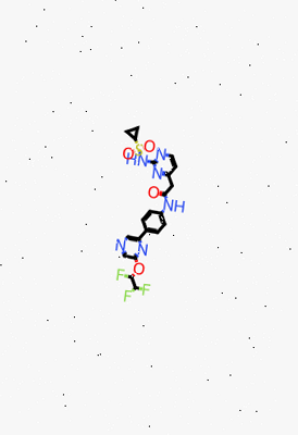 O=C(Cc1ccnc(NS(=O)(=O)C2CC2)n1)Nc1ccc(-c2cncc(OC(F)C(F)F)n2)cc1